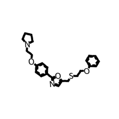 c1ccc(OCCSCc2cnc(-c3ccc(OCCN4CCCC4)cc3)o2)cc1